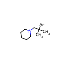 CC(=O)C(C)(C)CN1CCCCC1